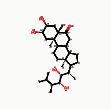 CC(C)[C@H](C)[C@@H](O)[C@H](O)[C@@H](C)C1CCC2C3CC(=O)[C@H]4C[C@H](O)[C@H](O)C[C@]4(C)C3CC[C@@]21C